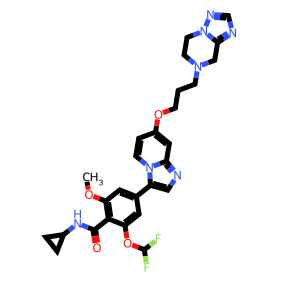 COc1cc(-c2cnc3cc(OCCCN4CCn5ncnc5C4)ccn23)cc(OC(F)F)c1C(=O)NC1CC1